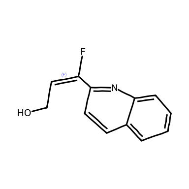 OC/C=C(/F)c1ccc2ccccc2n1